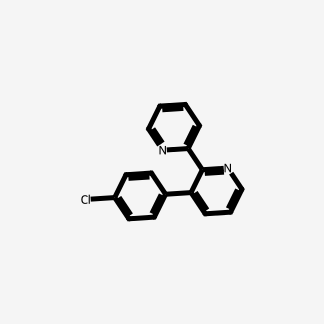 Clc1ccc(-c2cccnc2-c2ccccn2)cc1